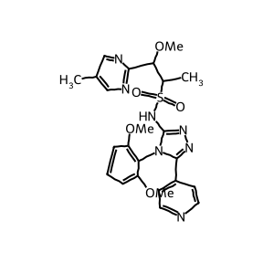 COc1cccc(OC)c1-n1c(NS(=O)(=O)C(C)C(OC)c2ncc(C)cn2)nnc1-c1ccncc1